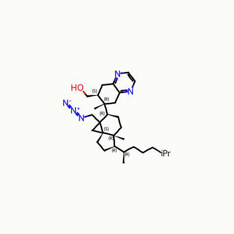 CC(C)CCC[C@@H](C)[C@H]1CC[C@@]23CC2(CN=[N+]=[N-])[C@@H]([C@@]2(C)Cc4nccnc4C[C@@H]2CO)CC[C@]13C